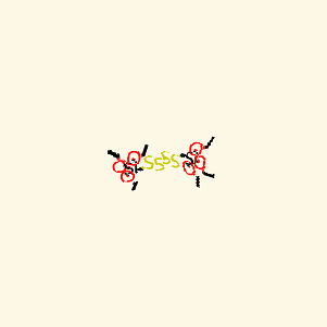 CCO[Si](CSSSSC[Si](OCC)(OCC)OCC)(OCC)OCC